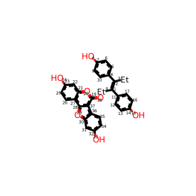 CC/C(=C(/CC)c1ccc(O)cc1)c1ccc(O)cc1.O=c1oc2cc(O)ccc2c2oc3cc(O)ccc3c12